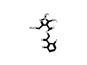 CCCn1nc(COC)c(C(=O)OCC(=O)c2c(F)cccc2F)c1N